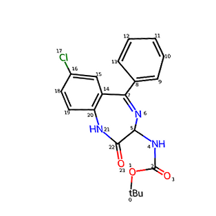 CC(C)(C)OC(=O)NC1N=C(c2ccccc2)c2cc(Cl)ccc2NC1=O